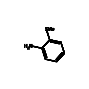 [CH2]Sc1ccccc1N